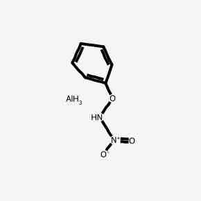 O=[N+]([O-])NOc1ccccc1.[AlH3]